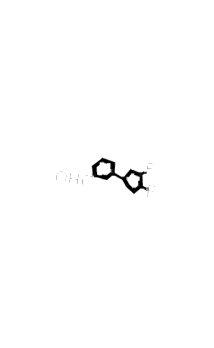 O=Cc1cccc(-c2ccc(F)c(F)c2)c1